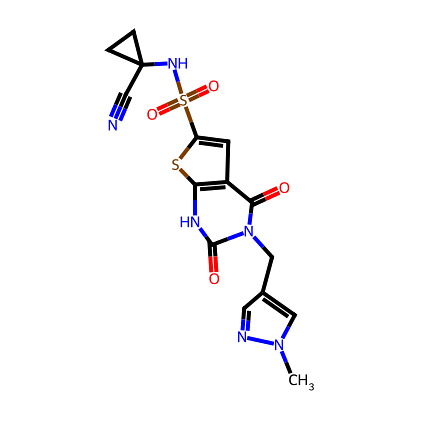 Cn1cc(Cn2c(=O)[nH]c3sc(S(=O)(=O)NC4(C#N)CC4)cc3c2=O)cn1